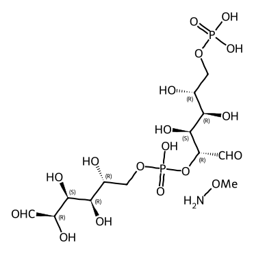 CON.O=C[C@H](OP(=O)(O)OC[C@@H](O)[C@@H](O)[C@H](O)[C@@H](O)C=O)[C@@H](O)[C@H](O)[C@H](O)COP(=O)(O)O